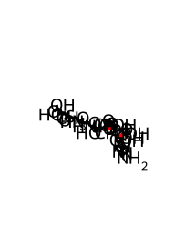 CC(C)(COP(=O)(O)OP(=O)(O)OC[C@H]1O[C@@H](n2cnc3c(N)ncnc32)[C@H](O)[C@@H]1OP(=O)(O)O)C(O)C(=O)NCCC(=O)NCCSC(=O)C[C@@](C)(O)CC(=O)O